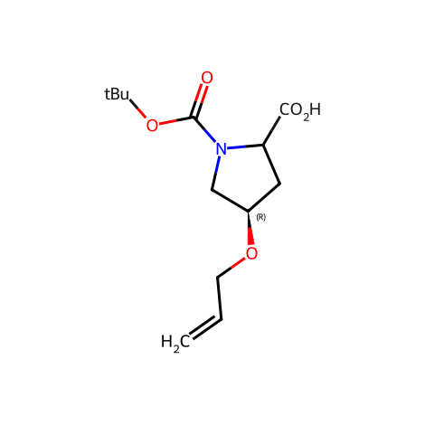 C=CCO[C@@H]1CC(C(=O)O)N(C(=O)OC(C)(C)C)C1